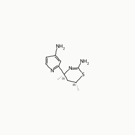 C[C@@H]1C[C@@](C)(c2cc(N)ccn2)N=C(N)S1